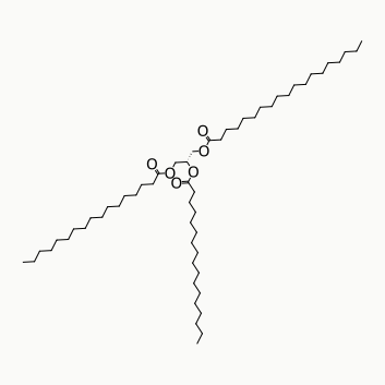 CCCCCCCCCCCCCCCCCCC(=O)OC[C@@H](COC(=O)CCCCCCCCCCCCCCCC)OC(=O)CCCCCCCCCCCCCCCC